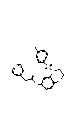 C[C@H]1CN(S(=O)(=O)c2ccc(F)cc2)c2cc(NC(=O)Cc3ccncc3)ccc2O1